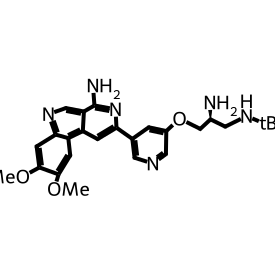 COc1cc2ncc3c(N)nc(-c4cncc(OC[C@@H](N)CNC(C)(C)C)c4)cc3c2cc1OC